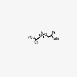 CCCCC(CC)CO[Si](C)(C)OCC(CC)CCCC